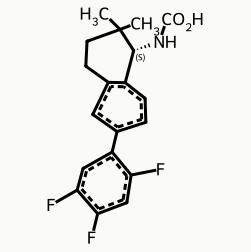 CC1(C)CCc2cc(-c3cc(F)c(F)cc3F)ccc2[C@H]1NC(=O)O